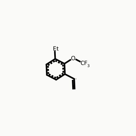 C=[C]c1cccc(CC)c1OC(F)(F)F